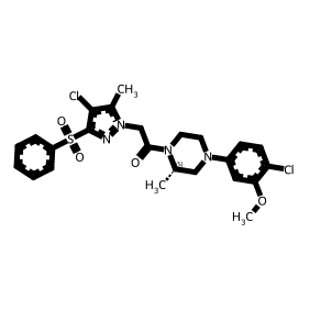 COc1cc(N2CCN(C(=O)Cn3nc(S(=O)(=O)c4ccccc4)c(Cl)c3C)[C@@H](C)C2)ccc1Cl